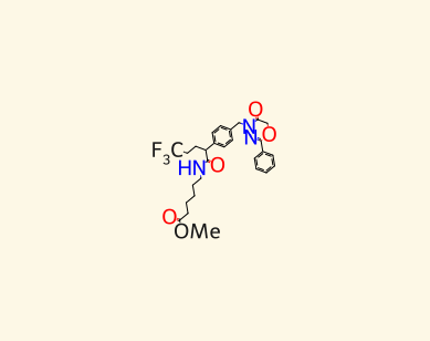 COC(=O)CCCCCNC(=O)C(CCC(F)(F)F)c1ccc(CN2N=C(c3ccccc3)OCC2=O)cc1